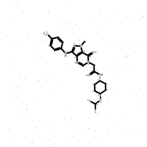 Cn1nc(Nc2ccc(C(F)(F)F)cc2)c2ncn(CC(=O)N[C@H]3CC[C@H](OC(F)F)CC3)c(=O)c21